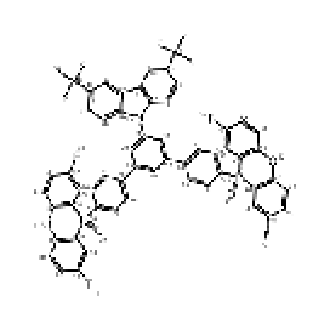 CC(C)(C)c1ccc2c(c1)c1cc(C(C)(C)C)ccc1n2-c1cc(-c2ccc(P3(=O)c4cc(F)ccc4Oc4ccc(F)cc43)cc2)cc(-c2ccc(P3(=O)c4cc(F)ccc4Oc4ccc(F)cc43)cc2)c1